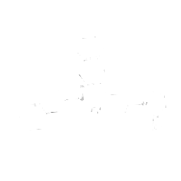 O=C(Cc1ccccc1)N[C@@H](Cc1ccccc1)C(=O)C(CC(=O)N1CCC[C@H]1C(=O)O)C(F)(F)F